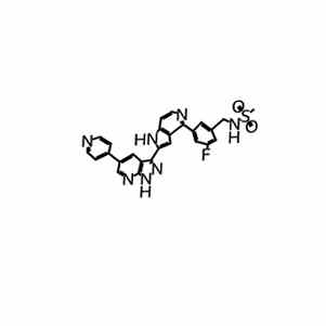 CS(=O)(=O)NCc1cc(F)cc(-c2nccc3[nH]c(-c4n[nH]c5ncc(-c6ccncc6)cc45)cc23)c1